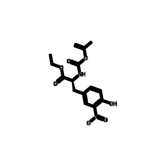 C=C(C)OC(=O)N[C@@H](Cc1ccc(O)c([N+](=O)[O-])c1)C(=O)OCC